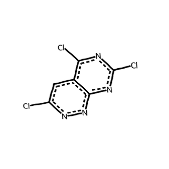 Clc1cc2c(Cl)nc(Cl)nc2nn1